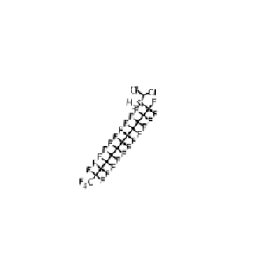 FC(F)(F)C(F)(F)C(F)(F)C(F)(F)C(F)(F)C(F)(F)C(F)(F)C(F)(F)C(F)(F)C(F)(F)C(F)(F)C(F)(F)[SiH2]C(Cl)Cl